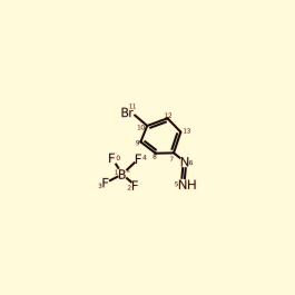 F[B-](F)(F)F.N=Nc1ccc(Br)cc1